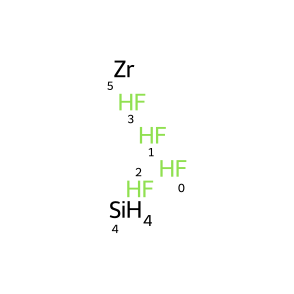 F.F.F.F.[SiH4].[Zr]